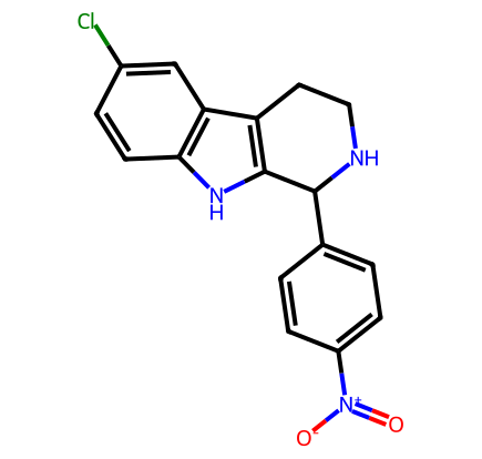 O=[N+]([O-])c1ccc(C2NCCc3c2[nH]c2ccc(Cl)cc32)cc1